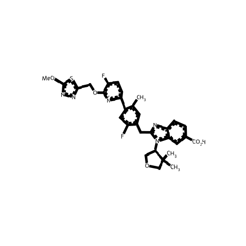 COc1nnc(COc2nc(-c3cc(F)c(Cc4nc5ccc(C(=O)O)cc5n4C4COCC4(C)C)cc3C)ccc2F)s1